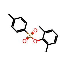 Cc1ccc(S(=O)(=O)Oc2c(C)cccc2C)cc1